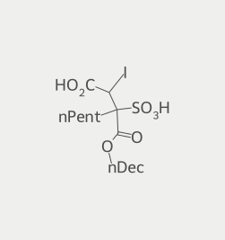 CCCCCCCCCCOC(=O)C(CCCCC)(C(I)C(=O)O)S(=O)(=O)O